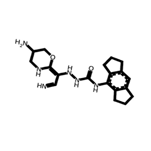 N=C/C(NNC(=O)Nc1c2c(cc3c1CCC3)CCC2)=C1\NCC(N)CO1